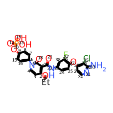 CCOc1ccn(-c2ccc(OP(=O)(O)O)cc2)c(=O)c1C(=O)Nc1ccc(Oc2ccnc(N)c2Cl)c(F)c1